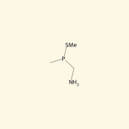 CSP(C)CN